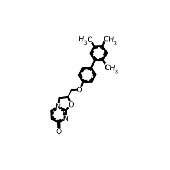 Cc1cc(C)c(-c2ccc(OC[C@@H]3Cn4ccc(=O)nc4O3)cc2)cc1C